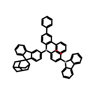 c1ccc(-c2ccc(N(c3ccc(-n4c5ccccc5c5ccccc54)cc3)c3ccc4c(c3)-c3ccccc3C43C4CC5CC(C4)CC3C5)c(-c3ccccc3)c2)cc1